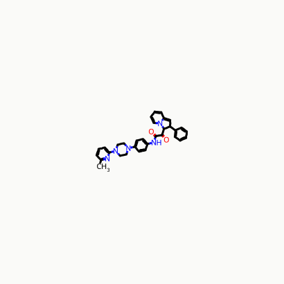 Cc1cccc(N2CCN(c3ccc(NC(=O)C(=O)C4C(c5ccccc5)C=C5C=CC=CN54)cc3)CC2)n1